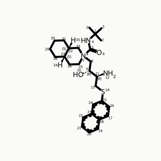 CC(C)(C)NC(=O)[N+]1(C[C@@H](O)[C@@H](N)CSc2ccc3ccccc3c2)CC[C@@H]2CCCC[C@@H]2C1